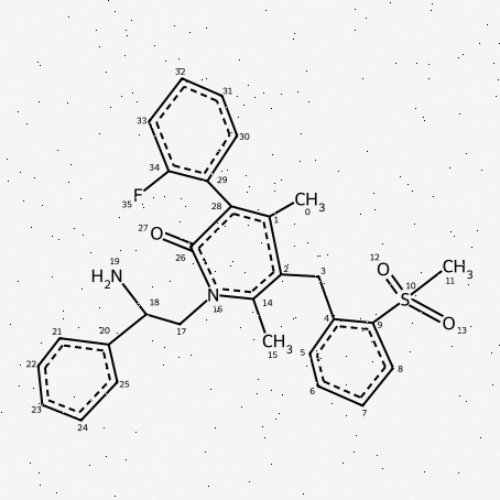 Cc1c(Cc2ccccc2S(C)(=O)=O)c(C)n(CC(N)c2ccccc2)c(=O)c1-c1ccccc1F